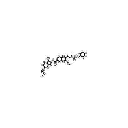 CCOC(=O)C(CCNC(=O)OCc1ccccc1)Oc1ccc(C(=O)CN2CC3=C(C=CC(=C=NSC)C3)C2=O)cc1